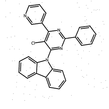 Clc1c(-c2cccnc2)nc(-c2ccccc2)nc1-n1c2ccccc2c2ccccc21